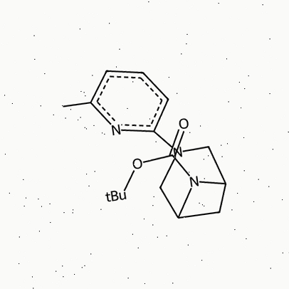 Cc1cccc(N2CC3CC(C2)N3C(=O)OC(C)(C)C)n1